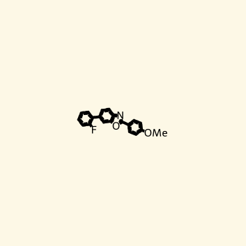 COc1ccc(-c2nc3ccc(-c4ccccc4F)cc3o2)cc1